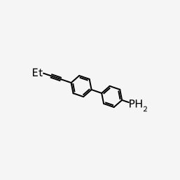 CCC#Cc1ccc(-c2ccc(P)cc2)cc1